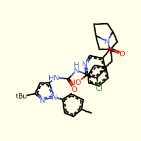 Cc1ccc(-n2nc(C(C)(C)C)cc2NC(=O)Nc2cccc(CC3CC4CCC(C3)N4C(=O)c3cnc(O)c(Cl)c3)c2)cc1